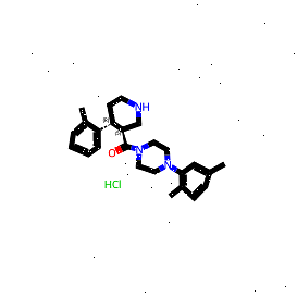 Cc1ccc(C)c(N2CCN(C(=O)[C@@H]3CNCC[C@H]3c3ccccc3C)CC2)c1.Cl